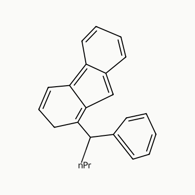 CCCC(C1=C2C=c3ccccc3=C2C=CC1)c1ccccc1